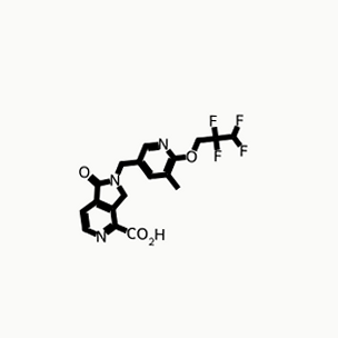 Cc1cc(CN2Cc3c(ccnc3C(=O)O)C2=O)cnc1OCC(F)(F)C(F)F